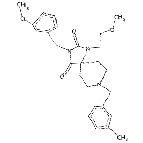 COCCN1C(=O)N(Cc2cccc(OC)c2)C(=O)C12CCN(Cc1cccc(C)c1)CC2